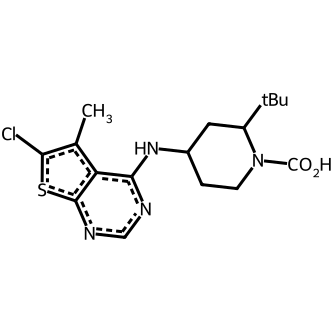 Cc1c(Cl)sc2ncnc(NC3CCN(C(=O)O)C(C(C)(C)C)C3)c12